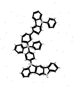 c1ccc(-n2c3ccccc3c3cc(-c4cccc([Si](c5ccccc5)(c5ccccc5)c5ccc(-n6c7ccccc7c7cc8oc9ccccc9c8cc76)cc5)c4)ccc32)cc1